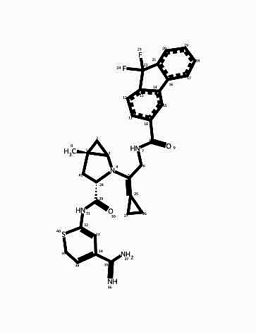 C[C@@]12CC1N(C(CNC(=O)c1ccc3c(c1)-c1ccccc1C3(F)F)=C1CC1)[C@H](C(=O)NC1=CC(C(=N)N)=CCS1)C2